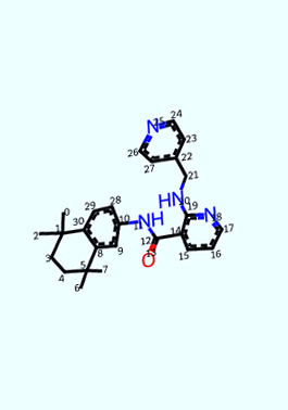 CC1(C)CCC(C)(C)c2cc(NC(=O)c3cccnc3NCc3ccncc3)ccc21